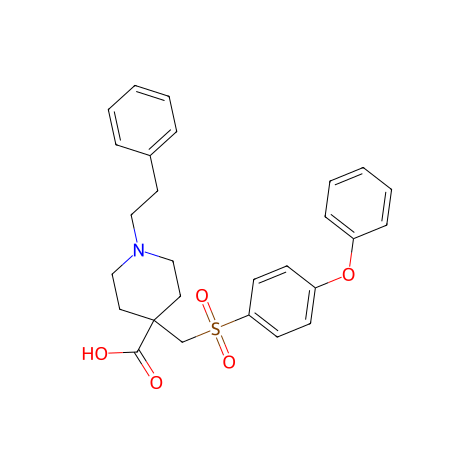 O=C(O)C1(CS(=O)(=O)c2ccc(Oc3ccccc3)cc2)CCN(CCc2ccccc2)CC1